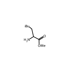 CCC(C)CC(N)C(=O)OC